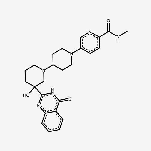 CNC(=O)c1ccc(N2CCC(N3CCCC(O)(c4nc5ccccc5c(=O)[nH]4)C3)CC2)cn1